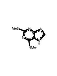 C[N]c1nc(SC)nc2nc[nH]c12